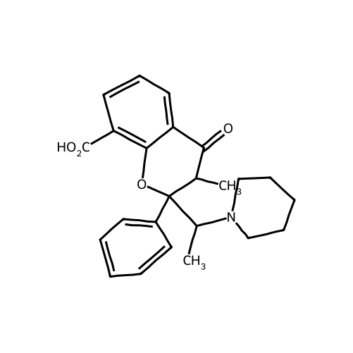 CC1C(=O)c2cccc(C(=O)O)c2OC1(c1ccccc1)C(C)N1CCCCC1